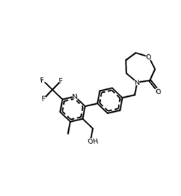 Cc1cc(C(F)(F)F)nc(-c2ccc(CN3CCCOCC3=O)cc2)c1CO